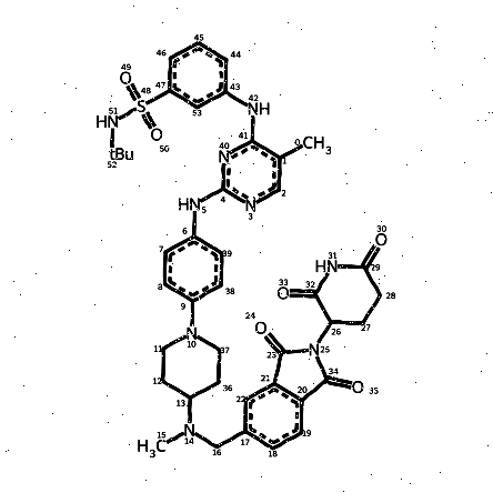 Cc1cnc(Nc2ccc(N3CCC(N(C)Cc4ccc5c(c4)C(=O)N(C4CCC(=O)NC4=O)C5=O)CC3)cc2)nc1Nc1cccc(S(=O)(=O)NC(C)(C)C)c1